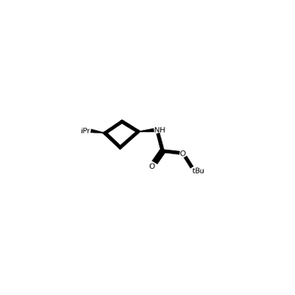 CC(C)[C@H]1C[C@@H](NC(=O)OC(C)(C)C)C1